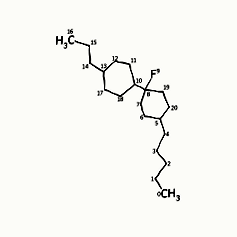 CCCCCC1CCC(F)(C2CCC(CCC)CC2)CC1